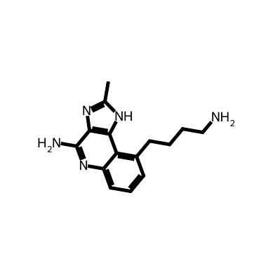 Cc1nc2c(N)nc3cccc(CCCCN)c3c2[nH]1